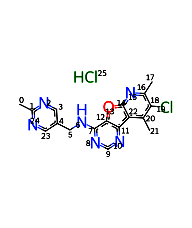 Cc1ncc(CNc2ncnc3c2oc2nc(C)c(Cl)c(C)c23)cn1.Cl